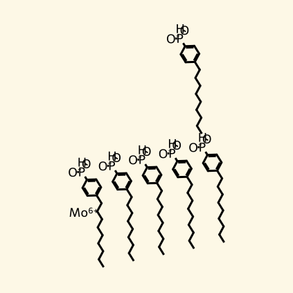 CCCCCCCCCc1ccc([PH](=O)[O-])cc1.CCCCCCCCCc1ccc([PH](=O)[O-])cc1.CCCCCCCCCc1ccc([PH](=O)[O-])cc1.CCCCCCCCCc1ccc([PH](=O)[O-])cc1.CCCCCCCCCc1ccc([PH](=O)[O-])cc1.CCCCCCCCCc1ccc([PH](=O)[O-])cc1.[Mo+6]